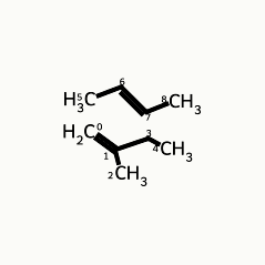 C=C(C)CC.CC=CC